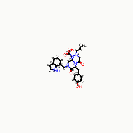 C=CCN1CC(=O)N2C(Cc3ccc(O)cc3)C(=O)N(Cc3cccc4cc[nH]c34)CC2N1C(=O)O